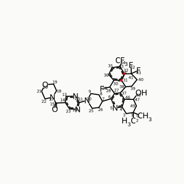 CC1(C)Cc2nc(C3CCN(c4ncc(C(=O)N5CCOCC5)cn4)CC3)c(C(F)c3ccc(C(F)(F)F)cc3)c(C3CCC(F)(F)CC3)c2C(O)C1